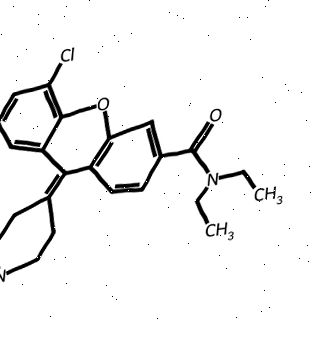 CCN(CC)C(=O)c1ccc2c(c1)Oc1c(Cl)cccc1C2=C1CCNCC1